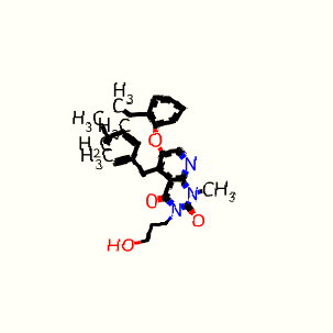 C=C(C)/C=C\C(=C/C)Cc1c(Oc2ccccc2C(C)C)cnc2c1c(=O)n(CCCO)c(=O)n2C